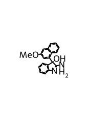 COc1cc(C2(O)C(N)=Nc3ccccc32)c2ccccc2c1